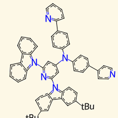 CC(C)(C)c1ccc2c(c1)c1cc(C(C)(C)C)ccc1n2-c1cc(N(c2ccc(-c3ccncc3)cc2)c2ccc(-c3ccccn3)cc2)cc(-n2c3ccccc3c3ccccc32)n1